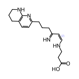 N=C(/C=C\NCCC(=O)O)CCCc1ccc2c(n1)NCCC2